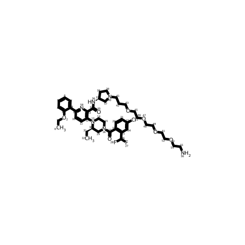 CCOc1ccccc1-c1ccc(N2CCN(C(=O)c3ccc(Cl)cc3C(F)F)C[C@H]2CC)c(C(=O)N[C@@H]2CCN(CCCOCCOCCOCCOCCN)C2)n1